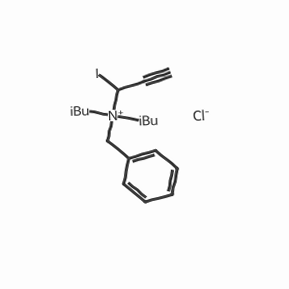 C#CC(I)[N+](Cc1ccccc1)(C(C)CC)C(C)CC.[Cl-]